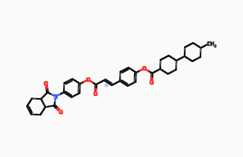 CC1CCC(C2CCC(C(=O)Oc3ccc(/C=C/C(=O)Oc4ccc(N5C(=O)C6CC=CCC6C5=O)cc4)cc3)CC2)CC1